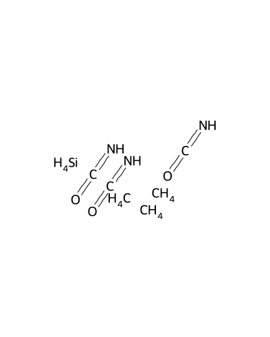 C.C.C.N=C=O.N=C=O.N=C=O.[SiH4]